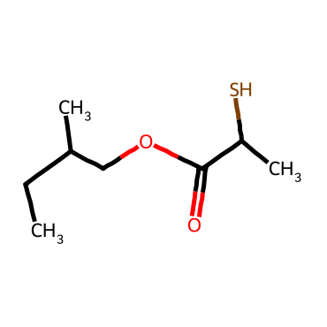 CCC(C)COC(=O)C(C)S